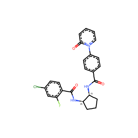 O=C(N[C@H]1CCC[C@H]1NC(=O)c1ccc(Cl)cc1F)c1ccc(-n2ccccc2=O)cc1